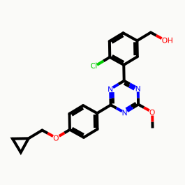 COc1nc(-c2ccc(OCC3CC3)cc2)nc(-c2cc(CO)ccc2Cl)n1